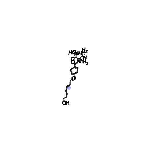 C=C(N)[C@H](NC(=O)c1ccc(OC/C=C/C#CCCO)cc1)C(=O)NO